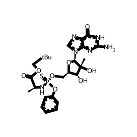 C[C@H](NP(=S)(OC[C@H]1O[C@@H](n2cnc3c(=O)[nH]c(N)nc32)[C@](C)(O)[C@@H]1O)Oc1ccccc1)C(=O)OCC(C)(C)C